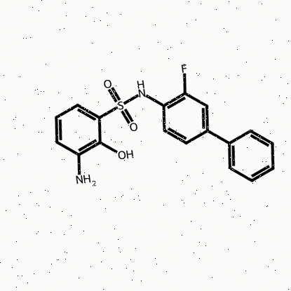 Nc1cccc(S(=O)(=O)Nc2ccc(-c3ccccc3)cc2F)c1O